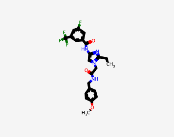 CCc1nc(NC(=O)c2cc(F)cc(C(F)(F)F)c2)cn1CC(=O)NCc1ccc(OC)cc1